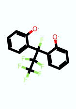 [O]c1ccccc1C(F)(c1ccccc1[O])C(F)(F)C(F)(F)F